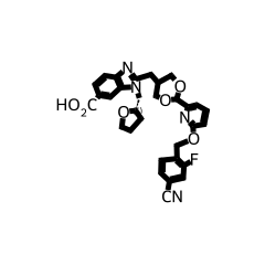 N#Cc1ccc(COc2cccc(C3OCC(Cc4nc5ccc(C(=O)O)cc5n4C[C@@H]4CCCO4)CO3)n2)c(F)c1